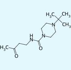 CC(=O)CCNC(=O)N1CCN(C(C)(C)C)CC1